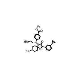 CC(C)OC(=O)c1ccc([C@@H](CCC(C)(C)C)N2C(=O)C(c3cccc(C4CC4)c3)=NC23CCC(C(C)(C)C)CC3)cc1